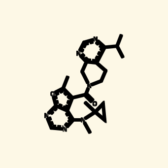 Cc1oc2ncnc(N(C)C3(C)CC3)c2c1C(=O)N1CCc2c(ncnc2C(C)C)C1